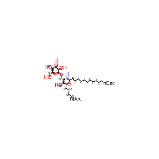 CCCCCCCCCCCCCCCCCCCCCC(=O)N[C@@H](CO[C@@H]1O[C@H](CO)[C@@H](O)C(O)C1O)[C@H](O)CCCCCCCCCCCCCCC